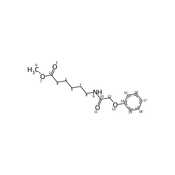 COC(=O)CCCCCNC(=O)COc1ccccc1